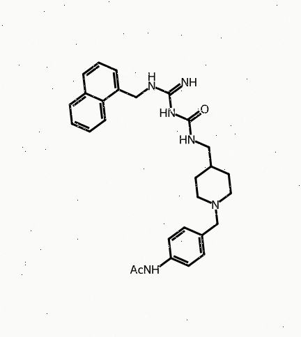 CC(=O)Nc1ccc(CN2CCC(CNC(=O)NC(=N)NCc3cccc4ccccc34)CC2)cc1